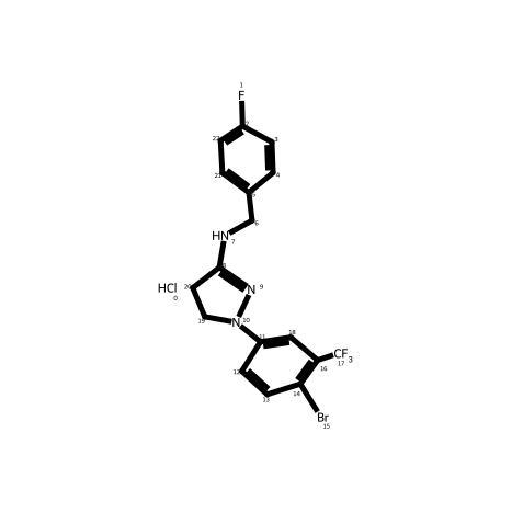 Cl.Fc1ccc(CNC2=NN(c3ccc(Br)c(C(F)(F)F)c3)CC2)cc1